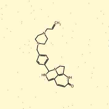 C=CCN1CCN(Cc2ccc(C3NC=C4C=CC(=O)NC5=C4N3CC5)cc2)CC1